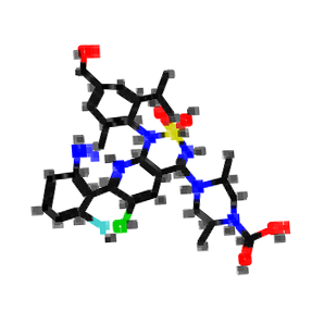 Cc1cc(CO)cc(C(C)C)c1N1c2nc(-c3c(N)cccc3F)c(Cl)cc2C(N2CC(C)N(C(=O)O)CC2C)=NS1(=O)=O